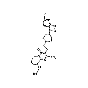 CCCOC1CCCn2c1nc(C)c(CCN1CCC(c3onc4cc(F)ccc34)CC1)c2=O